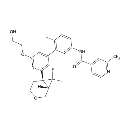 Cc1ccc(NC(=O)c2ccnc(C(F)(F)F)c2)cc1-c1cc(OCCO)nc([C@]23CCOC[C@H]2C3(F)F)c1